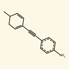 CC1C=CC(C#Cc2ccc(N)cc2)=CC1